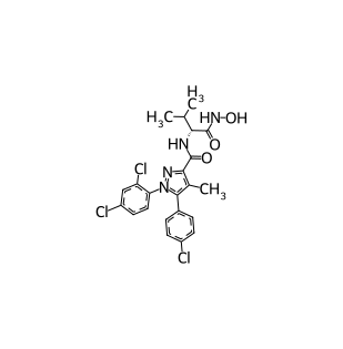 Cc1c(C(=O)N[C@@H](C(=O)NO)C(C)C)nn(-c2ccc(Cl)cc2Cl)c1-c1ccc(Cl)cc1